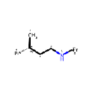 CC(C)NCC[C@@H](C)C(C)C